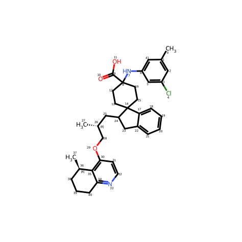 Cc1cc(Cl)cc(NC2(C(=O)O)CCC3(CC2)c2ccccc2CC3C[C@@H](C)COc2ccnc3c2[C@H](C)CCC3)c1